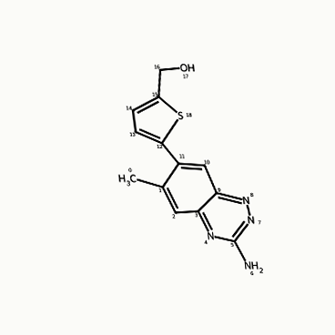 Cc1cc2nc(N)nnc2cc1-c1ccc(CO)s1